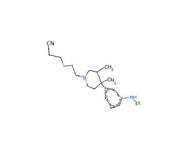 CCNc1cccc(C2(C)CCN(CCCCCC#N)CC2C)c1